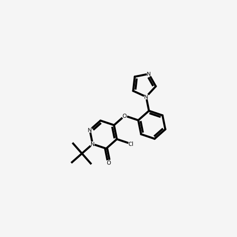 CC(C)(C)n1ncc(Oc2ccccc2-n2ccnc2)c(Cl)c1=O